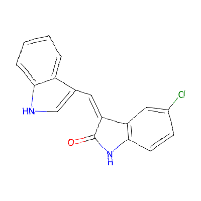 O=C1Nc2ccc(Cl)cc2C1=Cc1c[nH]c2ccccc12